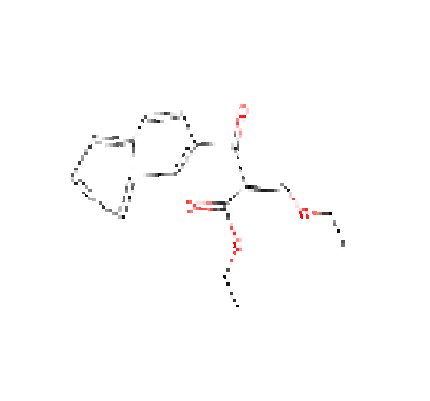 CCOC=C(C(=O)OCC)C(=O)c1ccc2ccccc2c1